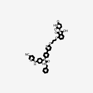 N#Cc1ccc(NC2CCC(N(C(=O)NCc3ccccc3)c3ccc(-c4ccc(OCCCOc5cccc6c5C(=O)N(C5CCC(=O)NC5=O)C6O)nc4)cc3)CC2)nc1